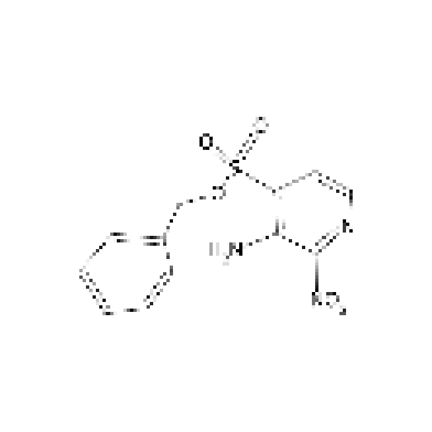 Nc1c(S(=O)(=O)OCc2ccccc2)ccnc1[N+](=O)[O-]